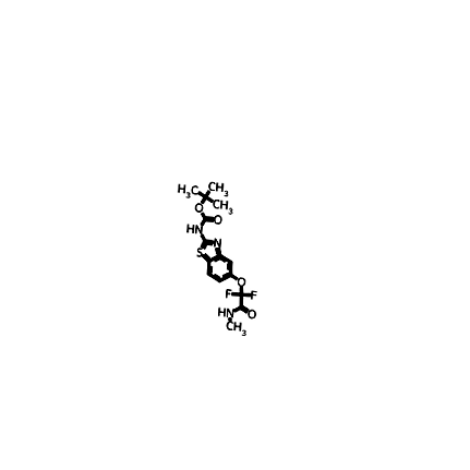 CNC(=O)C(F)(F)Oc1ccc2sc(NC(=O)OC(C)(C)C)nc2c1